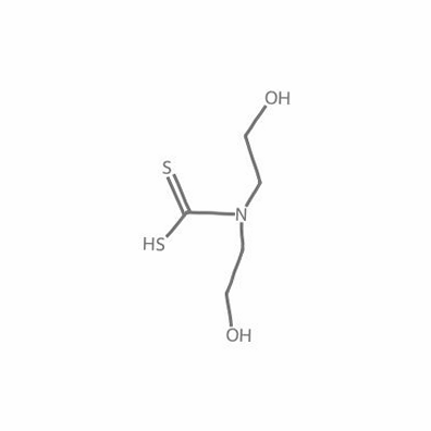 OCCN(CCO)C(=S)S